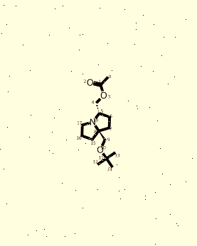 CC(=O)OC[C@@H]1CC[C@]2(COC(C)(C)C)CCCN12